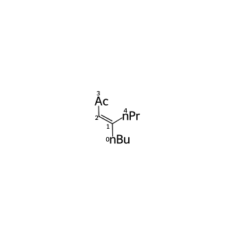 CCCCC(=CC(C)=O)CCC